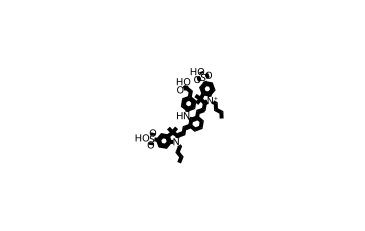 CCCCN1/C(=C/C=C2\CCCC(/C=C/C3=[N+](CCCC)c4ccc(S(=O)(=O)O)cc4C3(C)C)=C2Nc2ccc(CC(=O)O)cc2)C(C)(C)c2cc(S(=O)(=O)O)ccc21